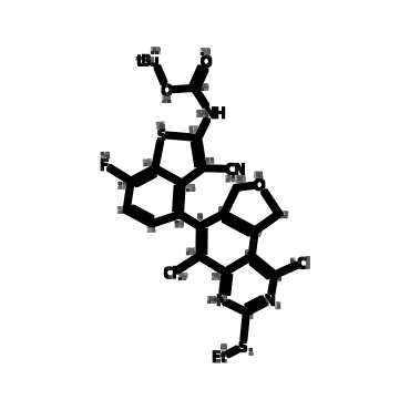 CCSc1nc(Cl)c2c3c(c(-c4ccc(F)c5sc(NC(=O)OC(C)(C)C)c(C#N)c45)c(Cl)c2n1)COC3